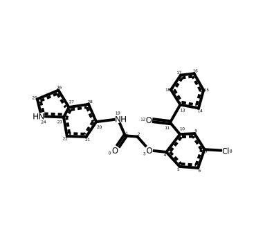 O=C(COc1ccc(Cl)cc1C(=O)c1ccccc1)Nc1ccc2[nH]ccc2c1